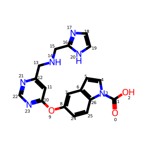 O=C(O)n1ccc2cc(Oc3cc(CNCc4ncc[nH]4)ncn3)ccc21